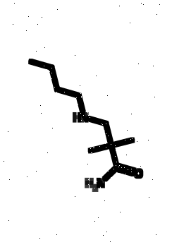 CCCCNCC(C)(C)C(N)=O